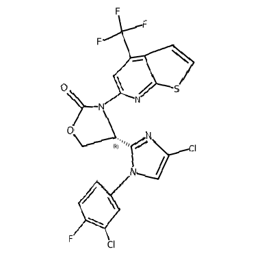 O=C1OC[C@@H](c2nc(Cl)cn2-c2ccc(F)c(Cl)c2)N1c1cc(C(F)(F)F)c2ccsc2n1